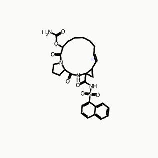 NC(=O)OC1CCCCC/C=C/C2CC2(C(=O)NS(=O)(=O)c2cccc3ccccc23)NC(=O)C2CCCN2C1=O